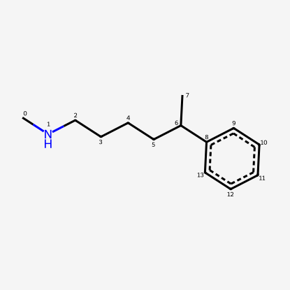 CNCCCCC(C)c1ccccc1